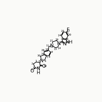 O=C1CCC(N2Cc3ccc(CN4CCN(c5n[nH]c6cc(F)ccc56)CC4)cc3C2)C(=O)N1